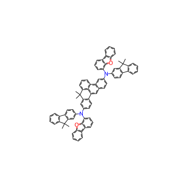 CC1(C)c2ccccc2-c2ccc(N(c3ccc4c(c3)C(C)(C)c3cccc5c3c-4cc3ccc(N(c4ccc6c(c4)C(C)(C)c4ccccc4-6)c4cccc6c4oc4ccccc46)cc35)c3cccc4c3oc3ccccc34)cc21